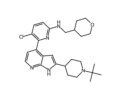 CC(C)(C)N1CCC(c2cc3c(-c4nc(NCC5CCOCC5)ccc4Cl)ccnc3[nH]2)CC1